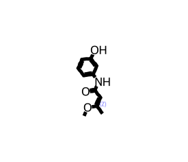 CO/C(C)=C\C(=O)Nc1cccc(O)c1